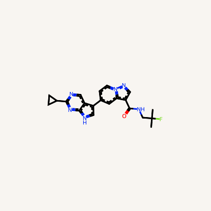 CC(C)(F)CNC(=O)c1cnn2ccc(-c3c[nH]c4nc(C5CC5)ncc34)cc12